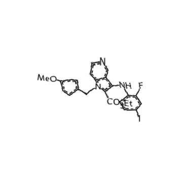 CCOC(=O)c1c(Nc2ccc(I)cc2F)c2cnccc2n1Cc1ccc(OC)cc1